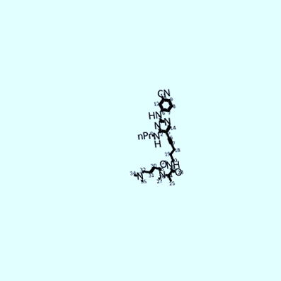 CCCNc1nc(Nc2cccc(C#N)c2)ncc1C#CCCCNC(=O)C(C)N(C)C(=O)/C=C/CN(C)C